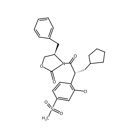 CS(=O)(=O)c1ccc([C@@H](CC2CCCC2)C(=O)N2C(=O)OC[C@H]2Cc2ccccc2)c(Cl)c1